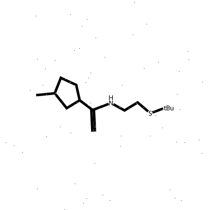 C=C(NCCSC(C)(C)C)C1CCC(C)C1